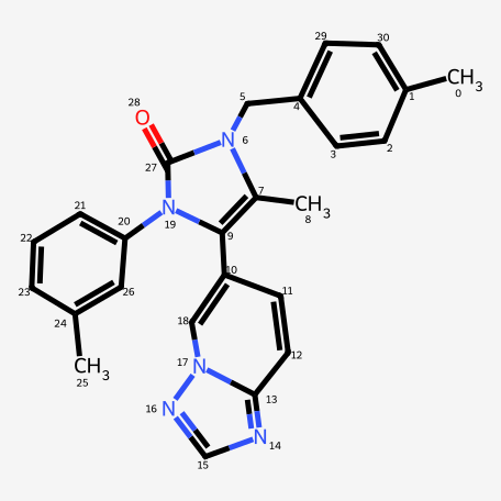 Cc1ccc(Cn2c(C)c(-c3ccc4ncnn4c3)n(-c3cccc(C)c3)c2=O)cc1